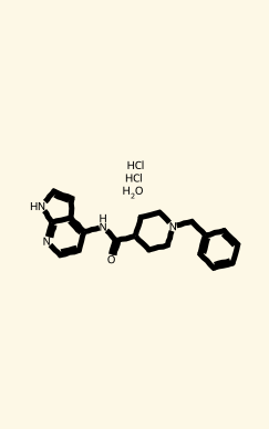 Cl.Cl.O.O=C(Nc1ccnc2[nH]ccc12)C1CCN(Cc2ccccc2)CC1